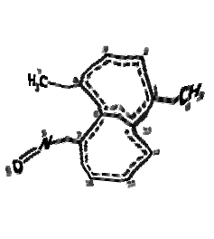 Cc1ccc(C)c2c(N=O)cccc12